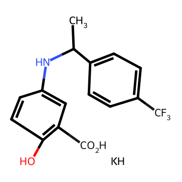 CC(Nc1ccc(O)c(C(=O)O)c1)c1ccc(C(F)(F)F)cc1.[KH]